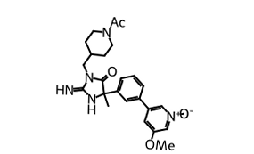 COc1cc(-c2cccc(C3(C)NC(=N)N(CC4CCN(C(C)=O)CC4)C3=O)c2)c[n+]([O-])c1